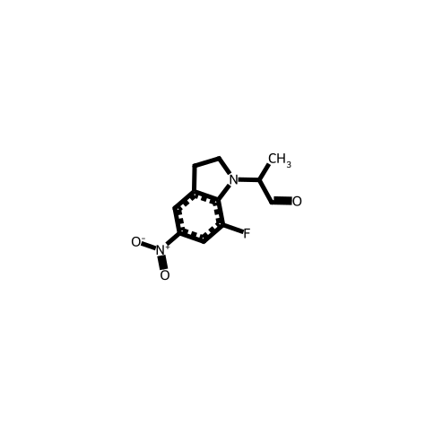 CC(C=O)N1CCc2cc([N+](=O)[O-])cc(F)c21